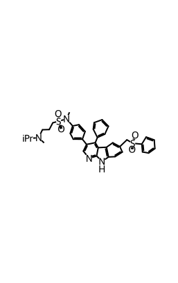 CC(C)N(C)CCCS(=O)(=O)N(C)c1ccc(-c2cnc3[nH]c4ccc(CS(=O)(=O)c5ccccc5)cc4c3c2-c2ccccc2)cc1